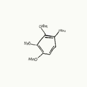 CCCCc1ccc(OC)c(OC)c1OC